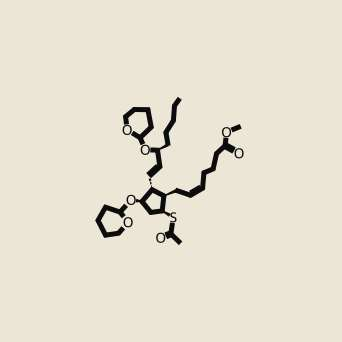 CCCCC[C@@H](/C=C/[C@@H]1[C@@H](C/C=C\CCCC(=O)OC)[C@@H](SC(C)=O)C[C@H]1OC1CCCCO1)OC1CCCCO1